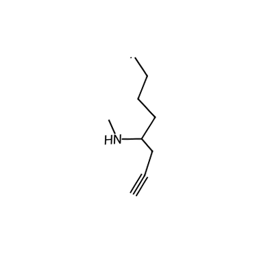 C#CCC(CCC[CH2])NC